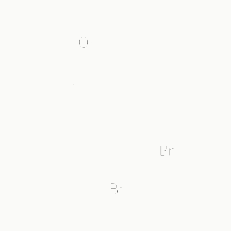 [O]C1CC1C(Br)Br